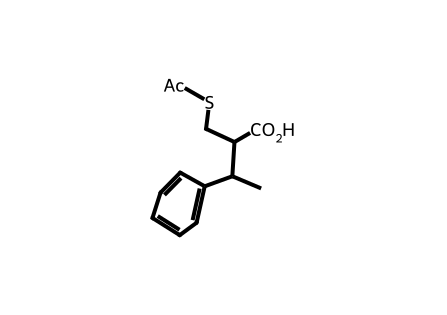 CC(=O)SCC(C(=O)O)C(C)c1ccccc1